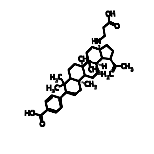 C=C(C)[C@@H]1CC[C@]2(NCCC(=O)O)CC[C@]3(C)[C@H](CCC4[C@@]5(C)CC=C(c6ccc(C(=O)O)cc6)C(C)(C)C5CC[C@]43C)C12